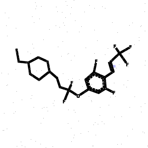 CCC1CCC(CCC(F)(F)Oc2cc(F)c(/C=C/C(F)(F)F)c(F)c2)CC1